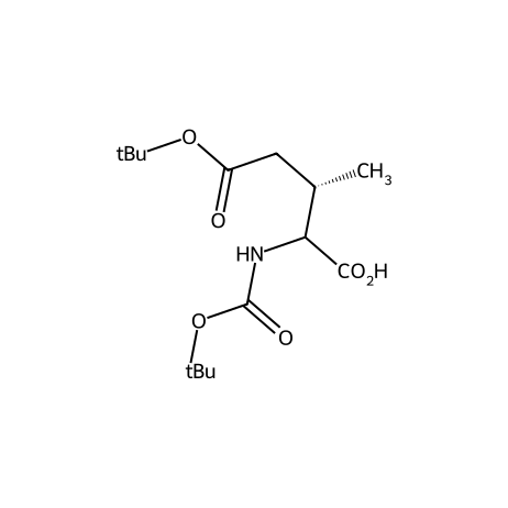 C[C@@H](CC(=O)OC(C)(C)C)C(NC(=O)OC(C)(C)C)C(=O)O